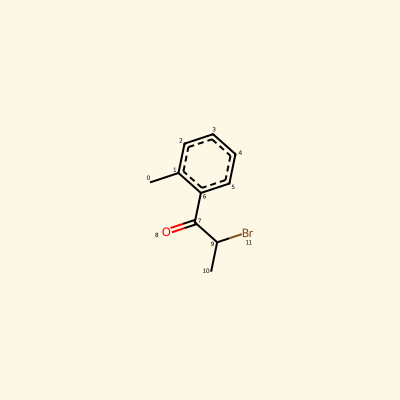 Cc1ccccc1C(=O)C(C)Br